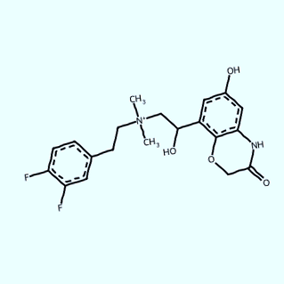 C[N+](C)(CCc1ccc(F)c(F)c1)CC(O)c1cc(O)cc2c1OCC(=O)N2